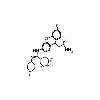 CC1CCC(/N=C(/Nc2ccc(C(CC(N)=O)c3ccc(Cl)cc3Cl)cc2)N2C[C@@H](C)N[C@@H](C)C2)CC1